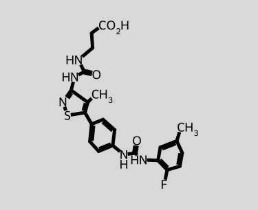 Cc1ccc(F)c(NC(=O)Nc2ccc(-c3snc(NC(=O)NCCC(=O)O)c3C)cc2)c1